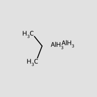 CCC.[AlH3].[AlH3]